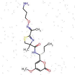 CCC[C@@H](NC(=O)C1(C)CSC(/C(C)=N/OCCCN)=N1)c1cc(OC)cc(=O)o1